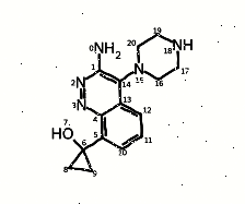 Nc1nnc2c(C3(O)CC3)cccc2c1N1CCNCC1